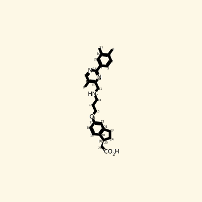 Cc1ccc(-c2ncc(C)c(CNCCCOc3ccc4c(c3)CC[C@H]4CC(=O)O)n2)cc1C